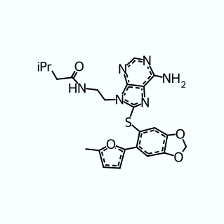 Cc1ccc(-c2cc3c(cc2Sc2nc4c(N)ncnc4n2CCNC(=O)CC(C)C)OCO3)o1